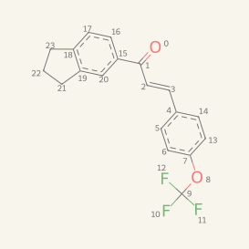 O=C(C=Cc1ccc(OC(F)(F)F)cc1)c1ccc2c(c1)CCC2